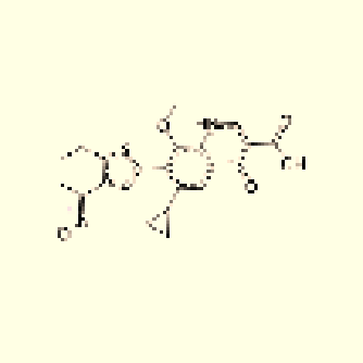 CO/N=C1\CCCc2sc(-c3c(C4CC4)cc4c(=O)c(C(=O)O)c[nH]c4c3OC)cc21